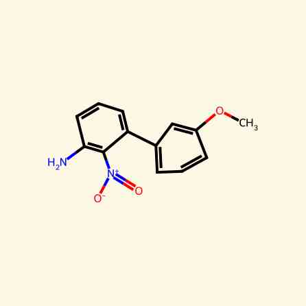 COc1cccc(-c2cccc(N)c2[N+](=O)[O-])c1